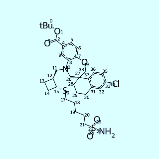 CC(C)(C)OC(=O)c1ccc2c(c1)N(C[C@@H]1CC[C@H]1SCCCCCS(N)(=O)=O)C[C@@]1(CCCc3cc(Cl)ccc31)CO2